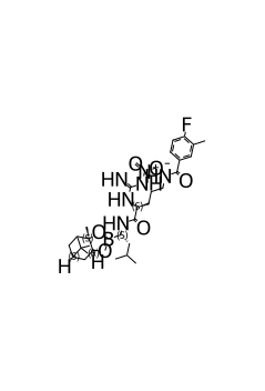 Cc1cc(C(=O)NCCC[C@H](NC(=N)N[N+](=O)[O-])C(=O)N[C@H](CC(C)C)B2O[C@@H]3C[C@@H]4CC(C4(C)C)[C@]3(C)O2)ccc1F